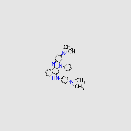 CCN(CC)c1ccc(Nc2cc3c(nc4ccc(=[N+](CC)CC)cc-4n3-c3ccccc3)c3ccccc23)cc1